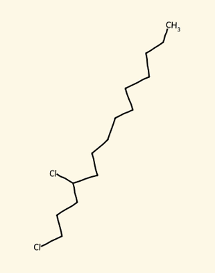 CCCCCCCCCCC(Cl)CCCCl